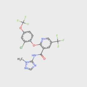 Cn1ncnc1NC(=O)c1cc(C(F)(F)F)cnc1Oc1ccc(OC(F)(F)F)cc1Cl